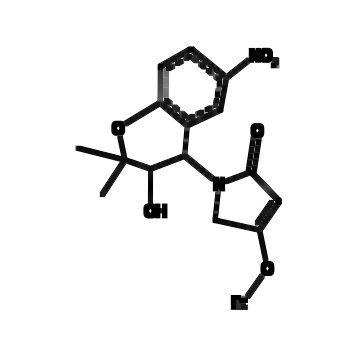 CCOC1=CC(=O)N(C2c3cc([N+](=O)[O-])ccc3OC(C)(C)C2O)C1